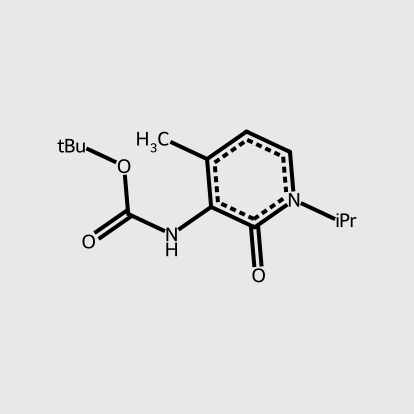 Cc1ccn(C(C)C)c(=O)c1NC(=O)OC(C)(C)C